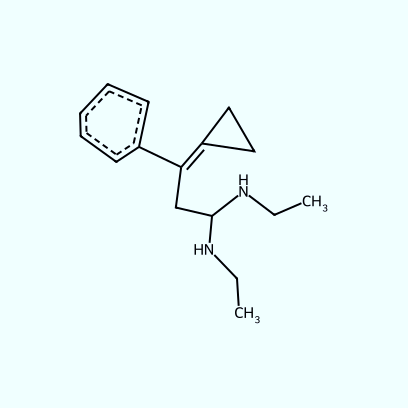 CCNC(CC(=C1CC1)c1ccccc1)NCC